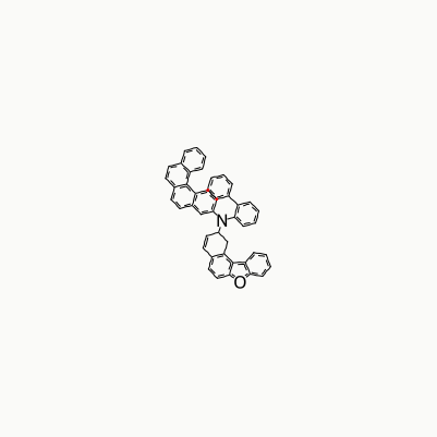 C1=CC(N(c2ccc3c(ccc4ccc5ccccc5c43)c2)c2ccccc2-c2ccccc2)Cc2c1ccc1oc3ccccc3c21